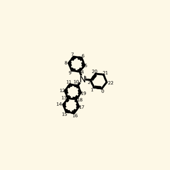 C1=CC(N(c2ccccc2)c2ccc3ccccc3c2)=CCC1